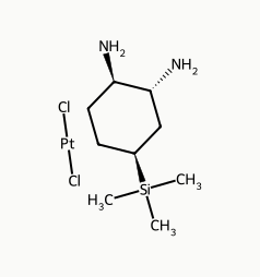 C[Si](C)(C)[C@H]1CC[C@@H](N)[C@H](N)C1.[Cl][Pt][Cl]